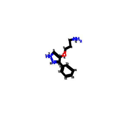 NCCCOc1c[nH]nc1-c1ccccc1